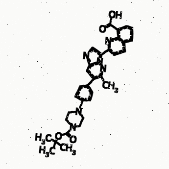 Cc1nn2c(-c3ccc4cccc(C(=O)O)c4n3)cnc2cc1-c1ccc(N2CCN(C(=O)OC(C)(C)C)CC2)cc1